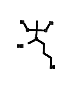 CCOC(C)(OCC)N(C)CCCS.Cl